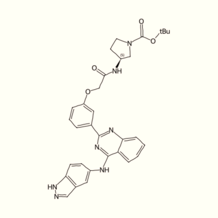 CC(C)(C)OC(=O)N1CC[C@H](NC(=O)COc2cccc(-c3nc(Nc4ccc5[nH]ncc5c4)c4ccccc4n3)c2)C1